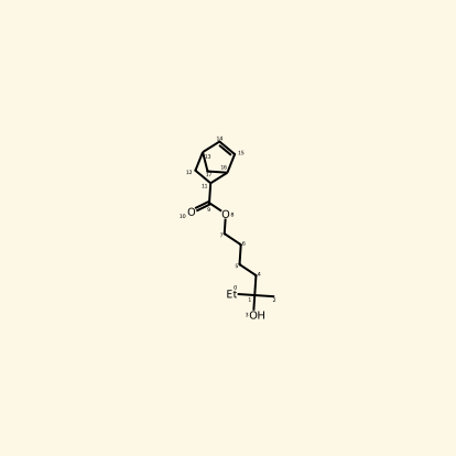 CCC(C)(O)CCCCOC(=O)C1CC2C=CC1C2